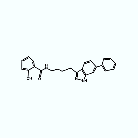 O=C(NCCCCc1n[nH]c2cc(-c3ccccc3)ccc12)c1ccccc1O